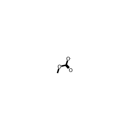 COC([O])=O